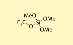 CO[Si](OC)(OC)OC(F)(F)F